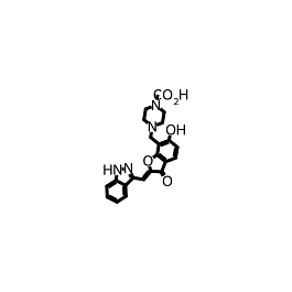 O=C1/C(=C/c2n[nH]c3ccccc23)Oc2c1ccc(O)c2CN1CCN(C(=O)O)CC1